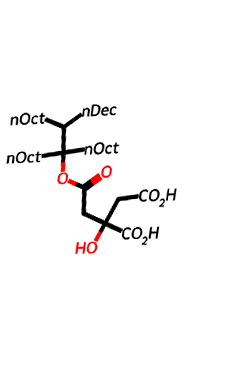 CCCCCCCCCCC(CCCCCCCC)C(CCCCCCCC)(CCCCCCCC)OC(=O)CC(O)(CC(=O)O)C(=O)O